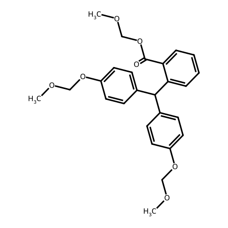 COCOC(=O)c1ccccc1C(c1ccc(OCOC)cc1)c1ccc(OCOC)cc1